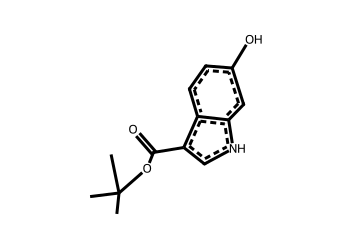 CC(C)(C)OC(=O)c1c[nH]c2cc(O)ccc12